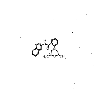 CC1CN(c2ccccc2C(=O)Nc2cnc3ccccc3c2)CC(C)O1